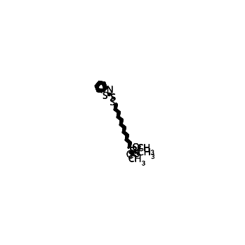 CO[Si](CCCCCCCCCCCCSSc1nc2ccccc2s1)(OC)OC